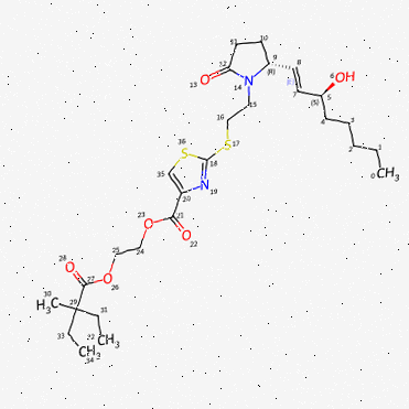 CCCCC[C@H](O)/C=C/[C@H]1CCC(=O)N1CCSc1nc(C(=O)OCCOC(=O)C(C)(CC)CC)cs1